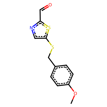 COc1ccc(CSc2cnc(C=O)s2)cc1